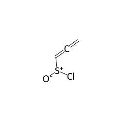 C=C=C[S+]([O-])Cl